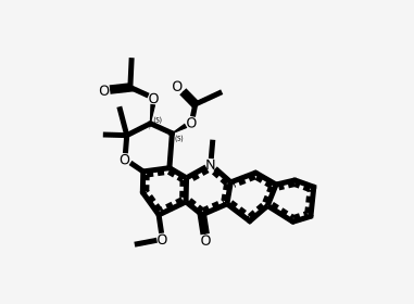 COc1cc2c(c3c1c(=O)c1cc4ccccc4cc1n3C)[C@H](OC(C)=O)[C@H](OC(C)=O)C(C)(C)O2